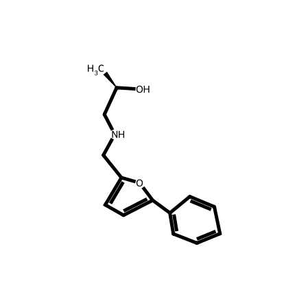 C[C@@H](O)CNCc1ccc(-c2ccccc2)o1